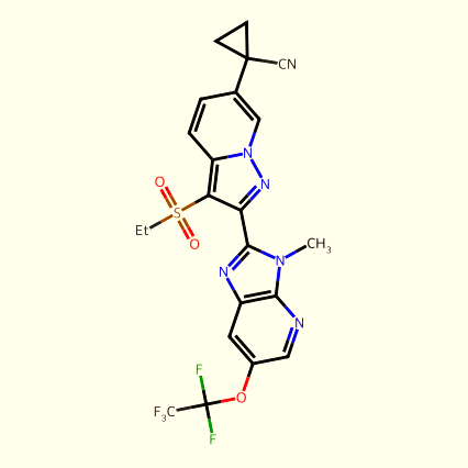 CCS(=O)(=O)c1c(-c2nc3cc(OC(F)(F)C(F)(F)F)cnc3n2C)nn2cc(C3(C#N)CC3)ccc12